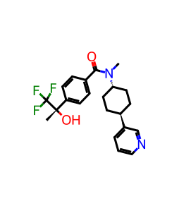 CN(C(=O)c1ccc([C@](C)(O)C(F)(F)F)cc1)[C@H]1CC[C@H](c2cccnc2)CC1